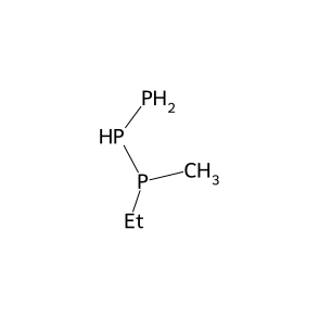 CCP(C)PP